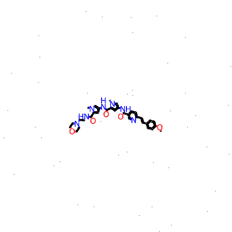 COc1ccc(/C=C/c2ccc(C(=O)Nc3cc(C(=O)Nc4cc(C(=O)NCCN5CCOCC5)n(C)c4)n(C)c3)cn2)cc1